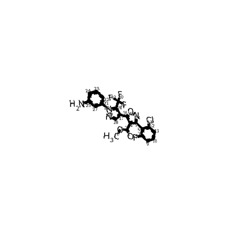 COC(=O)c1c(-c2c(F)cccc2Cl)noc1-c1cnn(-c2cccc(N)c2)c1C(F)(F)F